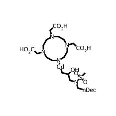 CCCCCCCCCCCN(CC(O)[CH2][Gd][N]1CCN(CC(=O)O)CCN(CC(=O)O)CCN(CC(=O)O)CC1)S(C)(=O)=O